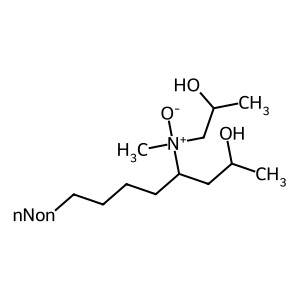 CCCCCCCCCCCCCC(CC(C)O)[N+](C)([O-])CC(C)O